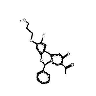 CC(=O)c1cn2c(cc1=O)-c1cc(Cl)c(OCCCO)cc1OC2c1ccccc1